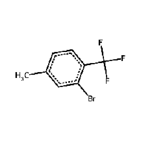 Cc1ccc(C(F)(F)F)c(Br)c1